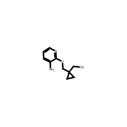 N#CCC1(COc2ncccc2N)CC1